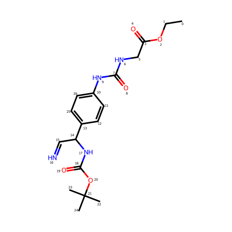 CCOC(=O)CNC(=O)Nc1ccc(C(C=N)NC(=O)OC(C)(C)C)cc1